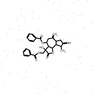 C=C1CC(OC(=O)c2ccccc2)C2C(OC(=O)C2(O)COC(=O)c2ccccc2)C2C(C)C(=N)CC12